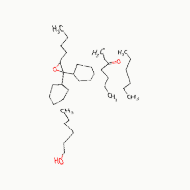 CCCCC(C)=O.CCCCC1OC1(C1CCCCC1)C1CCCCC1.CCCCCC.CCCCCCO